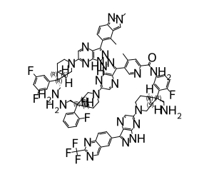 Cc1c(-c2n[nH]c3nc(N4CC[C@@H]5[C@H](C4)[C@@]5(CN)c4cc(F)cc(F)c4)cnc23)ccc2nn(C)cc12.Cc1cc(C(N)=O)ncc1-c1n[nH]c2nc(N3CC[C@@H]4[C@H](C3)[C@@]4(CN)c3ccccc3F)cnc12.NC[C@]1(c2ccccc2F)[C@@H]2CCN(c3cnc4c(-c5ccc6nc(C(F)(F)F)ncc6c5)n[nH]c4n3)C[C@@H]21